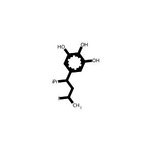 CC(I)CC(c1cc(O)c(O)c(O)c1)C(C)C